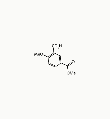 COC(=O)c1ccc(OC)c(C(=O)O)c1